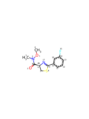 CON(C)C(=O)[C@@H]1CSC(c2cccc(F)c2)=N1